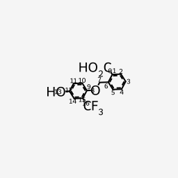 O=C(O)c1ccccc1COc1ccc(O)cc1C(F)(F)F